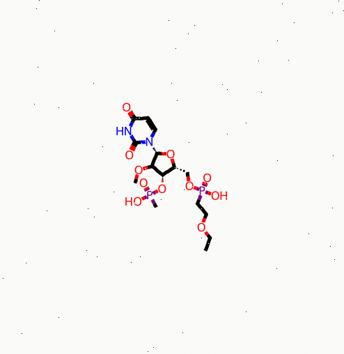 CCOCCP(=O)(O)OC[C@H]1O[C@@H](n2ccc(=O)[nH]c2=O)C(OC)[C@H]1OP(C)(=O)O